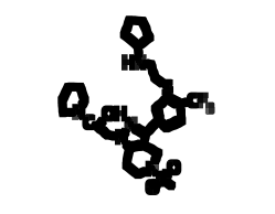 CS(=O)(=O)N1CCc2c(c(-c3ccc(C(F)(F)F)c(SCCNC4CCCC4)c3)nn2CC(O)CN2CCCCC2)C1